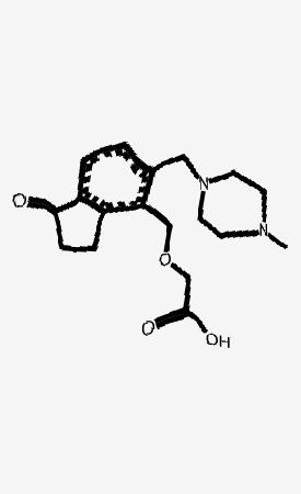 CN1CCN(Cc2ccc3c(c2COCC(=O)O)CCC3=O)CC1